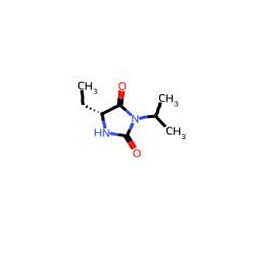 CC[C@H]1NC(=O)N(C(C)C)C1=O